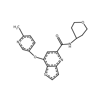 Cc1ccc(Oc2cc(C(=O)NC3CCOCC3)nc3ccsc23)cn1